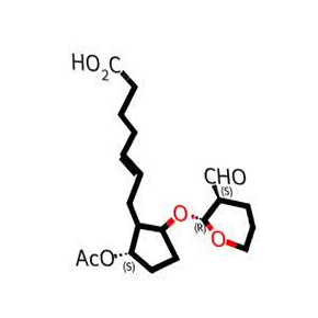 CC(=O)O[C@H]1CCC(O[C@H]2OCCC[C@@H]2C=O)C1CC=CCCCC(=O)O